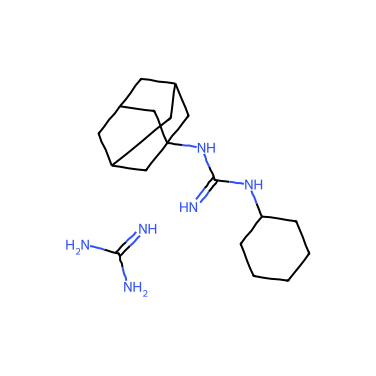 N=C(N)N.N=C(NC1CCCCC1)NC12CC3CC(CC(C3)C1)C2